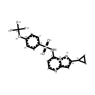 O=S(=O)(Nc1ccnc2cc(C3CC3)nn12)c1ccc(OC(F)(F)F)cc1